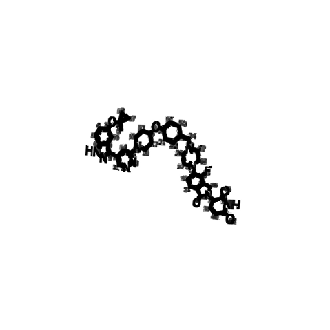 CC1(Oc2ccc3[nH]nc(-c4cnnc(N5CCC(OC6CCC(CN7CCN(c8ccc9c(c8F)CN(C8CCC(=O)NC8=O)C9=O)CC7)CC6)CC5)c4)c3c2)CC1